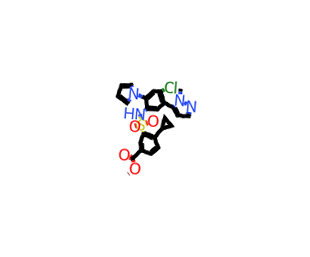 COC(=O)c1ccc(C2CC2)c(S(=O)(=O)Nc2cc(-c3ccnn3C)c(Cl)cc2-n2cccc2)c1